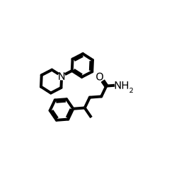 CC(CCC(N)=O)c1ccccc1.c1ccc(N2CCCCC2)cc1